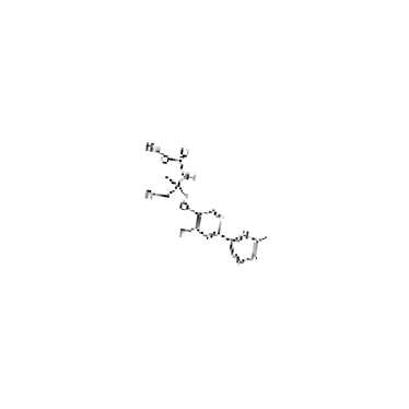 Cc1nccc(-c2ccc(OCC(C)(CC(C)C)NC(=O)OC(C)(C)C)c(F)c2)n1